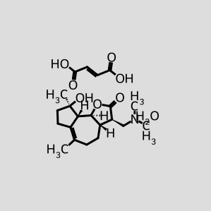 CC1=C2CC[C@@](C)(O)[C@@H]2[C@H]2OC(=O)[C@@H](CN(C)C)[C@@H]2CC1.O.O=C(O)/C=C/C(=O)O